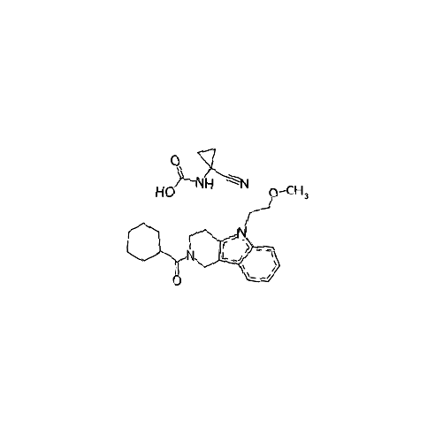 COCCn1c2c(c3ccccc31)CN(C(=O)C1CCCCC1)CC2.N#CC1(NC(=O)O)CC1